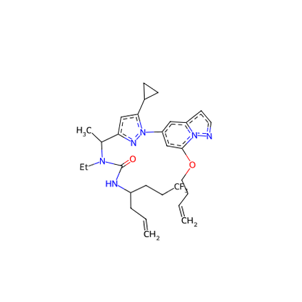 C=CCCOc1cc(-n2nc(C(C)N(CC)C(=O)NC(CC=C)CCC(F)(F)F)cc2C2CC2)cc2ccnn12